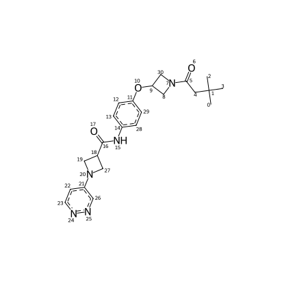 CC(C)(C)CC(=O)N1CC(Oc2ccc(NC(=O)C3CN(c4ccnnc4)C3)cc2)C1